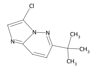 CC(C)(C)c1ccc2ncc(Cl)n2n1